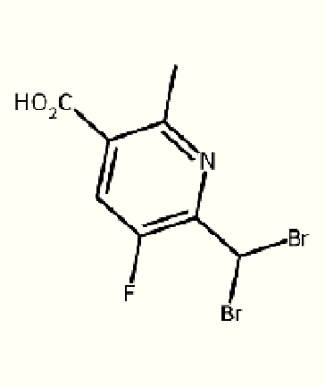 Cc1nc(C(Br)Br)c(F)cc1C(=O)O